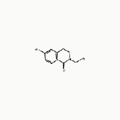 CC(C)CN1CCc2cc(C(C)(C)C)ccc2C1=O